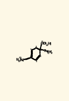 NC1=CCC(N)(C(=O)O)C=C1